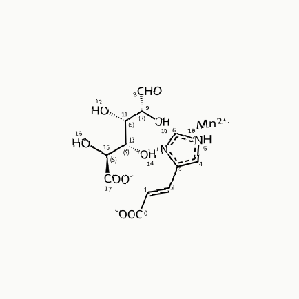 O=C([O-])C=Cc1c[nH]cn1.O=C[C@H](O)[C@@H](O)[C@H](O)[C@H](O)C(=O)[O-].[Mn+2]